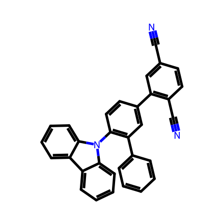 N#Cc1ccc(C#N)c(-c2ccc(-n3c4ccccc4c4ccccc43)c(-c3ccccc3)c2)c1